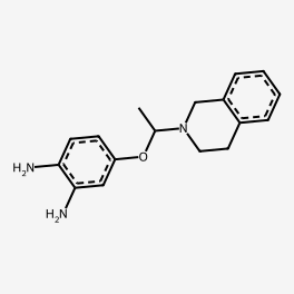 CC(Oc1ccc(N)c(N)c1)N1CCc2ccccc2C1